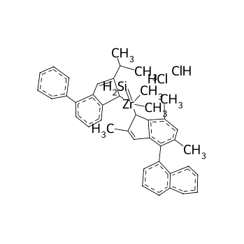 CC1=Cc2c(-c3cccc4ccccc34)c(C)cc(C)c2[CH]1[Zr]([CH3])([CH3])(=[SiH2])[CH]1C(C(C)C)=Cc2c(-c3ccccc3)cccc21.Cl.Cl